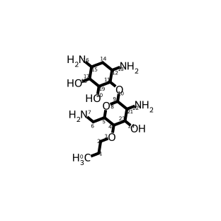 CCCOC1C(CN)OC(OC2C(N)CC(N)C(O)C2O)C(N)C1O